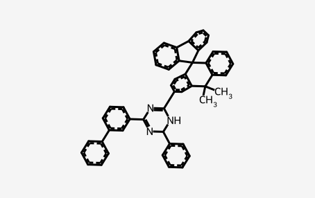 CC1(C)c2ccccc2C2(c3ccccc3-c3ccccc32)c2ccc(C3=NC(c4cccc(-c5ccccc5)c4)=NC(c4ccccc4)N3)cc21